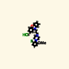 COc1cccc(F)c1N1CCN(CCCN2c3ccccc3Oc3ccccc32)CC1.Cl